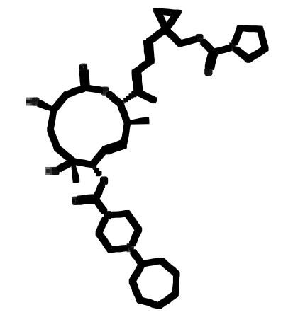 C/C(=C\C=C\C1(COC(=O)N2CCCC2)CC1)[C@H]1OC(=O)C[C@H](O)CC[C@@](C)(O)[C@@H](OC(=O)N2CCN(C3CCCCCC3)CC2)/C=C/[C@@H]1C